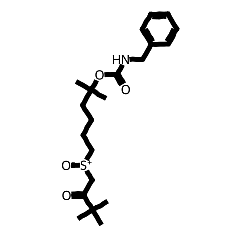 CC(C)(CCCC[S+]([O-])CC(=O)C(C)(C)C)OC(=O)NCc1ccccc1